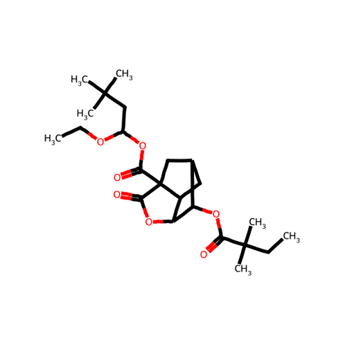 CCOC(CC(C)(C)C)OC(=O)C12CC3CC1C(OC2=O)C3OC(=O)C(C)(C)CC